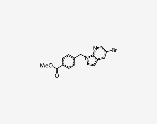 COC(=O)c1ccc(Cn2ccc3cc(Br)cnc32)cc1